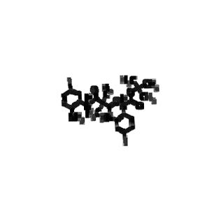 CC(C)(C)OC(=O)Nc1ccc(I)cc1NC(=O)C(C)(C)C(=O)Nc1cc(I)ccc1N